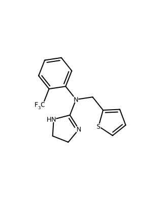 FC(F)(F)c1ccccc1N(Cc1cccs1)C1=NCCN1